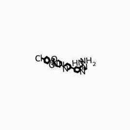 NNc1ncnc2ccc(-c3ccc(N4CCN(S(=O)(=O)c5ccc(Cl)cc5)CC4)nc3)cc12